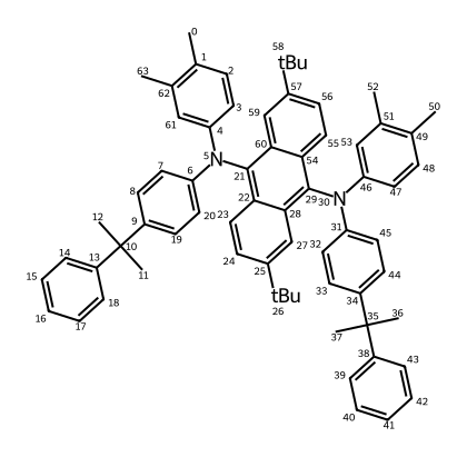 Cc1ccc(N(c2ccc(C(C)(C)c3ccccc3)cc2)c2c3ccc(C(C)(C)C)cc3c(N(c3ccc(C(C)(C)c4ccccc4)cc3)c3ccc(C)c(C)c3)c3ccc(C(C)(C)C)cc23)cc1C